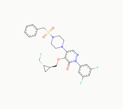 O=c1c(OC[C@H]2C[C@@H]2CF)c(N2CCN(S(=O)(=O)Cc3ccccc3)CC2)cnn1-c1cc(F)cc(F)c1